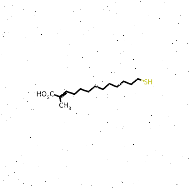 CC(=CCCCCCCCCCCS)C(=O)O